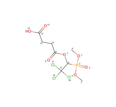 COP(=O)(OC)C(OC(=O)CCC(=O)O)C(Cl)(Cl)Cl